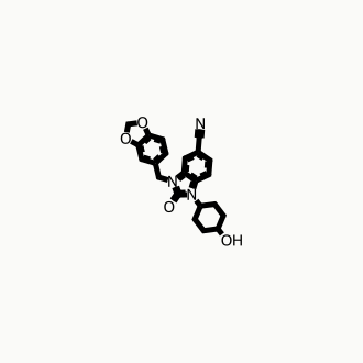 N#Cc1ccc2c(c1)n(Cc1ccc3c(c1)OCO3)c(=O)n2C1CCC(O)CC1